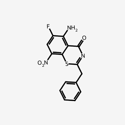 Nc1c(F)cc([N+](=O)[O-])c2sc(Cc3ccccc3)nc(=O)c12